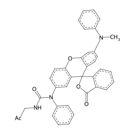 CC(=O)CNC(=O)N(c1ccccc1)c1ccc2c(c1)C1(OC(=O)c3ccccc31)c1ccc(N(C)c3ccccc3)cc1O2